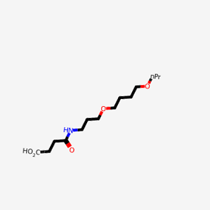 CCCOCCCCOCCCNC(=O)CCC(=O)O